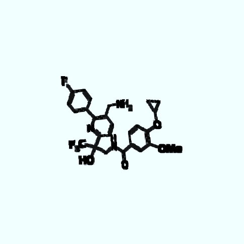 COc1cc(C(=O)NCC(O)(c2ccc(CN)c(-c3ccc(F)cc3)n2)C(F)(F)F)ccc1OC1CC1